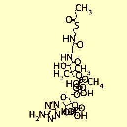 C.CCCC(=O)SCCNC(=O)CCNC(=O)[C@H](O)C(C)(C)COP(=O)(O)OP(=O)(O)OC[C@H]1O[C@@H](n2cnc3c(N)ncnc32)[C@H](O)[C@@H]1OP(=O)(O)O